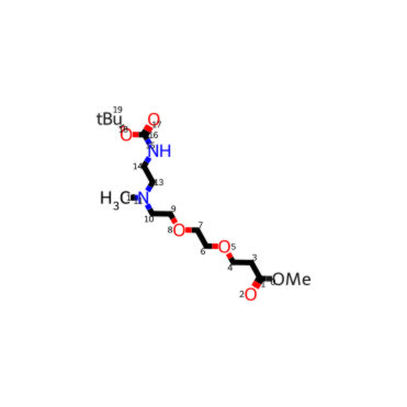 COC(=O)CCOCCOCCN(C)CCNC(=O)OC(C)(C)C